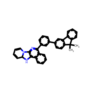 CC1(C)c2ccccc2-c2cc(-c3cccc(-c4nc5c(c6ccccc46)NC4C=CC=CN54)c3)ccc21